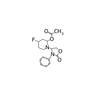 CC(=O)OC1CC(F)CCN1C1COC(=O)N1c1ccccc1